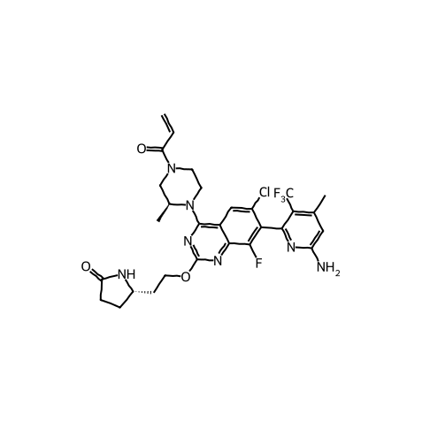 C=CC(=O)N1CCN(c2nc(OCC[C@@H]3CCC(=O)N3)nc3c(F)c(-c4nc(N)cc(C)c4C(F)(F)F)c(Cl)cc23)[C@@H](C)C1